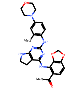 CNC(=O)c1ccc2c(c1Nc1nc(Nc3ccc(N4CCOCC4)cc3OC)nc3c1CCN3)OCO2